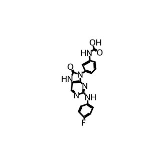 O=C(O)Nc1cccc(-n2c(=O)[nH]c3cnc(Nc4ccc(F)cc4)nc32)c1